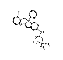 CC1=Cc2cc(NC(=O)CC(C)(C)C)ccc2[N+]1(Cc1ccccc1F)c1ccccc1